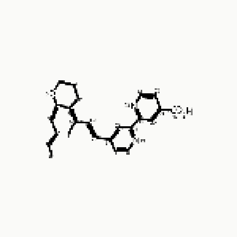 C/C=C/C=C1/OCCC/C1=C(C)\C=C\c1ccnc(-c2cc(C(=O)O)ccn2)c1